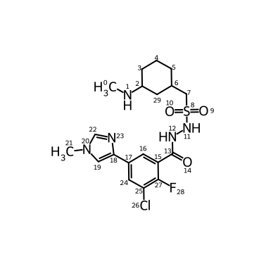 CNC1CCCC(CS(=O)(=O)NNC(=O)c2cc(-c3cn(C)cn3)cc(Cl)c2F)C1